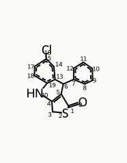 O=C1SCC2=C1C(c1ccccc1)c1cc(Cl)ccc1N2